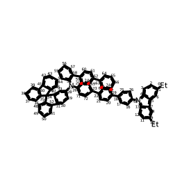 CCc1ccc2c(c1)c1cc(CC)ccc1n2-c1ccc(-c2ccc(-c3ccc(N(c4ccc5c(c4)C4(c6ccccc6-c6ccccc64)c4ccccc4-5)c4ccccc4-c4ccc(-c5ccccc5)cc4)cc3)cc2)cc1